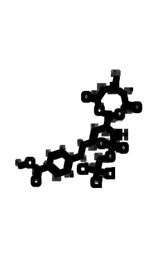 COC(=O)c1ccc(CC/C=C/C(NS(=O)(=O)OCC(Cl)(Cl)Cl)B2OC(=O)CN(C)CC(=O)O2)cc1